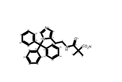 CC(C)(C(=O)O)C(=O)NCCc1cncn1C(c1ccccc1)(c1ccccc1)c1ccccc1